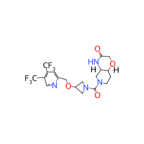 O=C1CO[C@H]2CCN(C(=O)N3CC(OCc4cc(C(F)(F)F)c(C(F)(F)F)cn4)C3)C[C@H]2N1